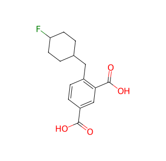 O=C(O)c1ccc(CC2CCC(F)CC2)c(C(=O)O)c1